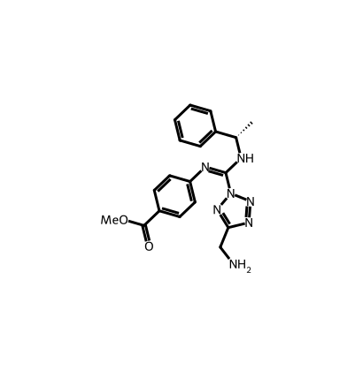 COC(=O)c1ccc(N=C(N[C@@H](C)c2ccccc2)n2nnc(CN)n2)cc1